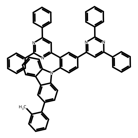 Cc1ccccc1-c1ccc2c(c1)c1ccccc1n2-c1ccc(-c2cc(-c3ccccc3)nc(-c3ccccc3)n2)cc1-c1cc(-c2ccccc2)nc(-c2ccccc2)n1